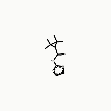 CC1(C)C(C(=O)Nc2nccs2)C1(C)C